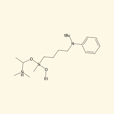 CCO[Si](C)(CCCCN(c1ccccc1)C(C)(C)C)OC(C)[SiH](C)C